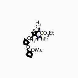 C/C=C(/C(=O)OCC)c1scc(COc2cccc(OCc3ccccc3OC)c2)c1/C(N)=C/CCC